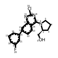 OC[C@@H]1CCCN1c1nc(Cl)nc2cc(-c3cccc(F)c3)ccc12